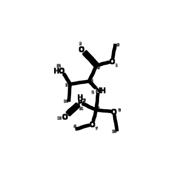 COC(=O)C(NC(OC)(OC)[PH2]=O)C(C)O